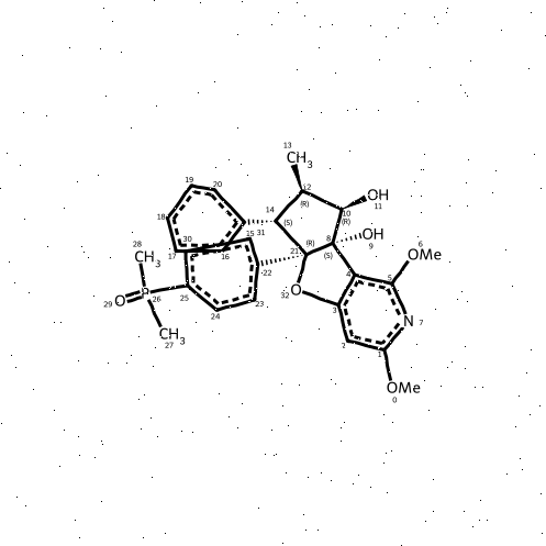 COc1cc2c(c(OC)n1)[C@]1(O)[C@H](O)[C@H](C)[C@@H](c3ccccc3)[C@]1(c1ccc(P(C)(C)=O)cc1)O2